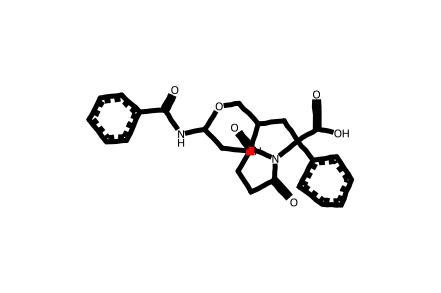 O=C(NC1CNC(CC(C(=O)O)(c2ccccc2)N2C(=O)CCC2=O)CO1)c1ccccc1